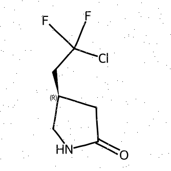 O=C1C[C@H](CC(F)(F)Cl)CN1